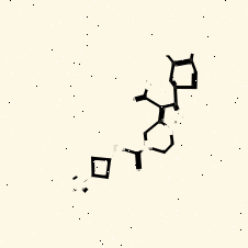 CS(=O)(=O)[C@H]1C[C@H](NC(=O)N2CCn3nc(-c4ccc(F)c(Cl)c4)c(C(N)=O)c3C2)C1